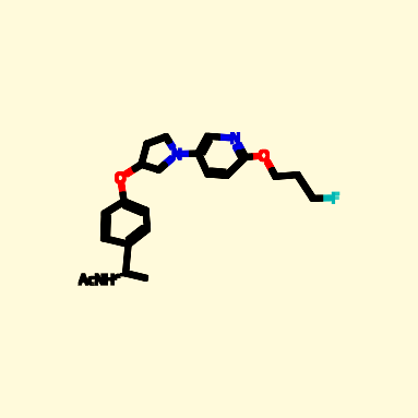 CC(=O)N[C@@H](C)c1ccc(OC2CCN(c3ccc(OCCCF)nc3)C2)cc1